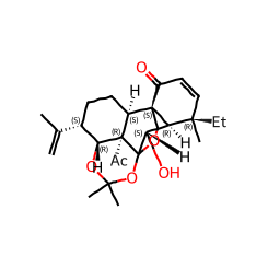 C=C(C)[C@@H]1CC[C@H]2[C@@]34COC5(OC(C)(C)O[C@H]1[C@@]25C(C)=O)[C@@H](O)[C@@H]3[C@](C)(CC)C=CC4=O